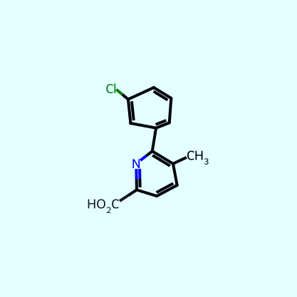 Cc1ccc(C(=O)O)nc1-c1cccc(Cl)c1